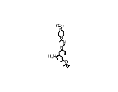 C=C/C(CC(/C=C(\C)OC1(C)CC1)=C(/C)N)=N\C=N/C(C)N1CCN([S+](C)[O-])CC1